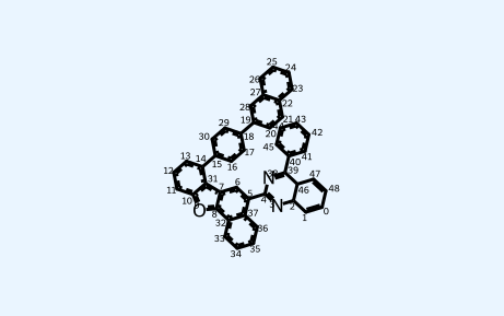 C1=CC2N=C(c3cc4c(oc5cccc(-c6ccc(-c7ccc8ccccc8c7)cc6)c54)c4ccccc34)N=C(c3ccccc3)C2C=C1